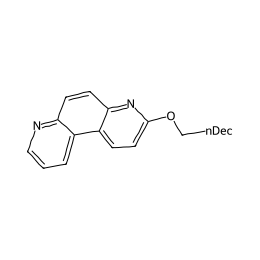 CCCCCCCCCCCOc1ccc2c(ccc3ncccc32)n1